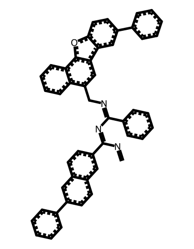 C=N/C(=N\C(=N/Cc1cc2c3cc(-c4ccccc4)ccc3oc2c2ccccc12)c1ccccc1)c1ccc2cc(-c3ccccc3)ccc2c1